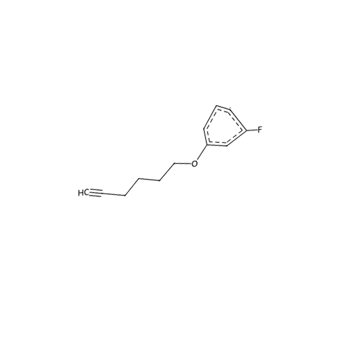 C#CCCCCOc1cc[c]c(F)c1